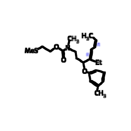 C/C=C\C=C(/CC)C(CCN(C)C(=O)OCCSC)Oc1cccc(C)c1